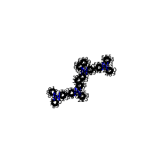 c1ccc(N(c2ccccc2)c2ccc(-c3ccc(N(c4ccccc4)c4ccc5c(ccc6cc(N(c7ccc(-c8ccc(N(c9ccccc9)c9ccccc9)cc8)cc7)c7cccc8ccccc78)ccc65)c4)cc3)cc2)cc1